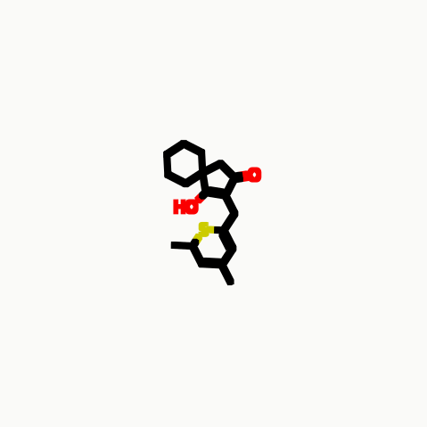 CC1=CC(C)SC(CC2=C(O)C3(CCCCC3)CC2=O)=C1